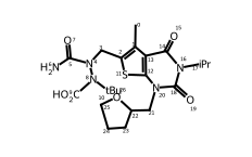 Cc1c(CN(C(N)=O)N(C(=O)O)C(C)(C)C)sc2c1c(=O)n(C(C)C)c(=O)n2CC1CCCO1